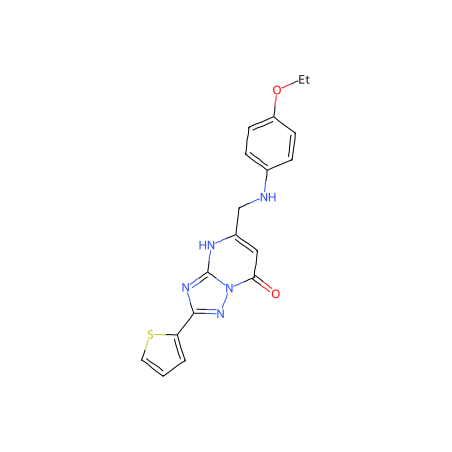 CCOc1ccc(NCc2cc(=O)n3nc(-c4cccs4)nc3[nH]2)cc1